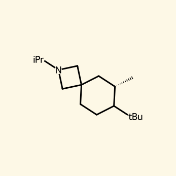 CC(C)N1CC2(CCC(C(C)(C)C)[C@@H](C)C2)C1